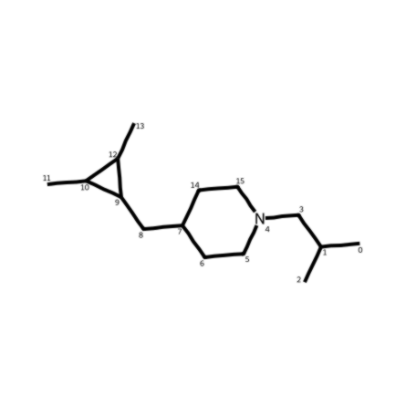 CC(C)CN1CCC(CC2C(C)C2C)CC1